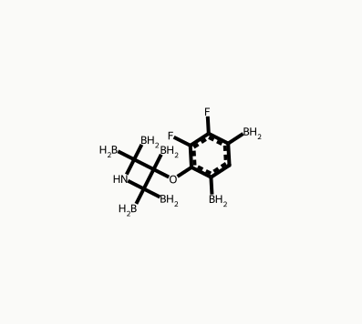 Bc1cc(B)c(OC2(B)C(B)(B)NC2(B)B)c(F)c1F